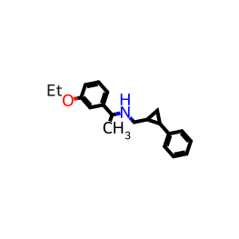 CCOc1cccc(C(C)NCC2CC2c2ccccc2)c1